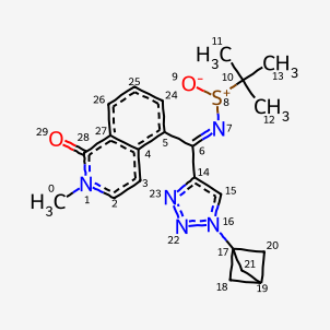 Cn1ccc2c(/C(=N\[S+]([O-])C(C)(C)C)c3cn(C45CC(C4)C5)nn3)cccc2c1=O